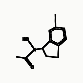 CC(=O)N(O)C1CCc2ccc(C)cc21